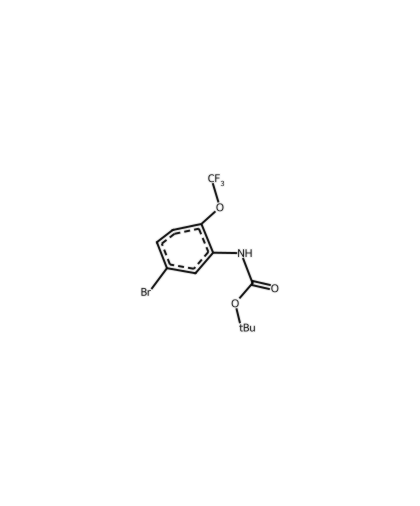 CC(C)(C)OC(=O)Nc1cc(Br)ccc1OC(F)(F)F